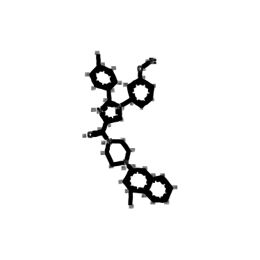 CCOc1cccc(-n2cc(C(=O)N3CCN(c4cc(C)c5ccccc5c4)CC3)nc2-c2ccc(C)cc2)c1